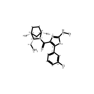 CCNc1nc(C(=O)N2[C@@H]3CC[C@@H](C3)[C@H]2CN)c(-c2cccc(Cl)c2)s1